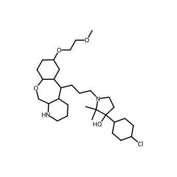 COCCOC1CCC2OCC3NCCCC3C(CCCN3CCC(O)(C4CCC(Cl)CC4)C3(C)C)C2C1